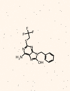 Nc1nc(SCC(F)(F)F)nc2c1nc(O)n2Cc1ccccc1